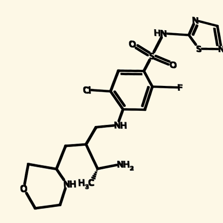 C[C@@H](N)C(CNc1cc(F)c(S(=O)(=O)Nc2ncns2)cc1Cl)CC1COCCN1